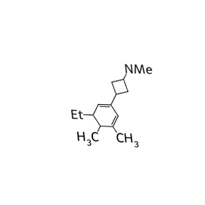 CCC1C=C(C2CC(NC)C2)C=C(C)C1C